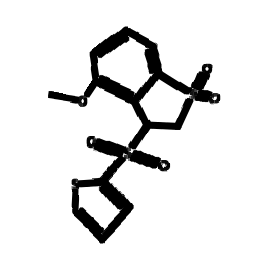 COc1cccc2c1C(S(=O)(=O)c1cccs1)CS2(=O)=O